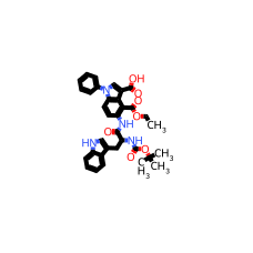 CCOC(=O)c1c(NC(=O)C(Cc2c[nH]c3ccccc23)NC(=O)OC(C)(C)C)ccc2c1c(C(=O)O)cn2-c1ccccc1